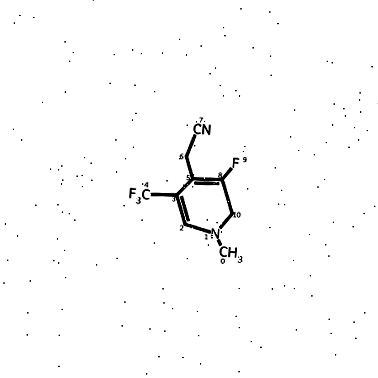 CN1C=C(C(F)(F)F)C(CC#N)=C(F)C1